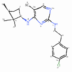 C[C@H]1C[C@@H](Nc2nc(NCCc3ccc(Cl)cc3)ncc2C#N)C1(C)C